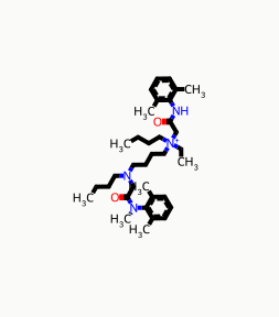 CCCCN(CCCC[N+](CC)(CCCC)CC(=O)Nc1c(C)cccc1C)CC(=O)N(C)c1c(C)cccc1C